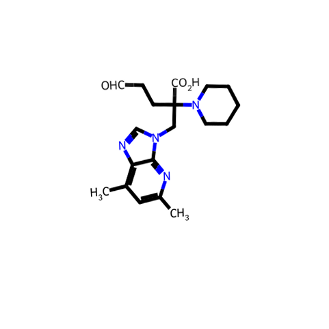 Cc1cc(C)c2ncn(CC(CCC=O)(C(=O)O)N3CCCCC3)c2n1